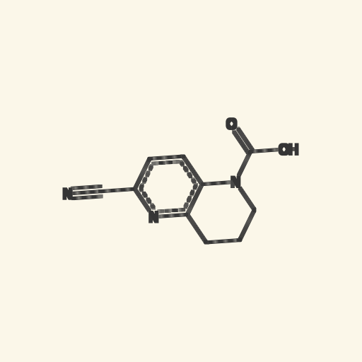 N#Cc1ccc2c(n1)CCCN2C(=O)O